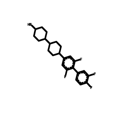 Fc1ccc(-c2c(F)cc(C3CCC(C4CCC(S)CC4)CC3)cc2F)cc1F